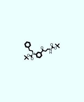 CC(C)(C)OC(=O)NCCC(=O)c1cccc(N(CCc2ccccc2)C(=O)OC(C)(C)C)c1